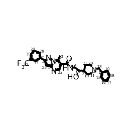 Cc1c(C(=O)NC[C@@H](O)C2CCN(Cc3ccccc3)CC2)cnc2cc(-c3cccc(C(F)(F)F)c3)nn12